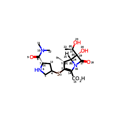 C[C@H]1C(SC2CN[C@H](C(=O)N(C)C)C2)=C(C(=O)O)N2C(=O)[C@](O)([C@@H](C)O)[C@@H]12